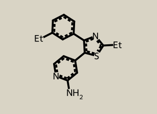 CCc1cccc(-c2nc(CC)sc2-c2ccnc(N)c2)c1